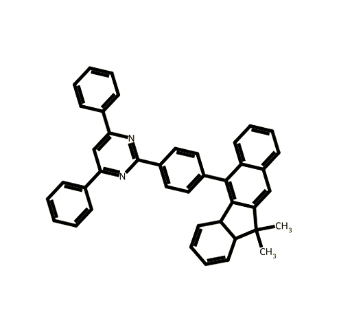 CC1(C)c2cc3ccccc3c(-c3ccc(-c4nc(-c5ccccc5)cc(-c5ccccc5)n4)cc3)c2C2C=CC=CC21